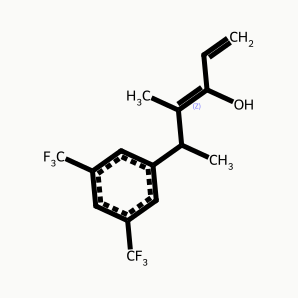 C=C/C(O)=C(\C)C(C)c1cc(C(F)(F)F)cc(C(F)(F)F)c1